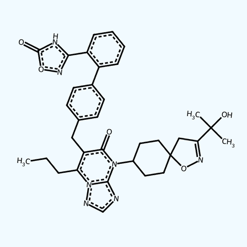 CCCc1c(Cc2ccc(-c3ccccc3-c3noc(=O)[nH]3)cc2)c(=O)n(C2CCC3(CC2)CC(C(C)(C)O)=NO3)c2ncnn12